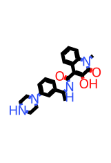 CC(NC(=O)c1c(O)c(=O)n(C)c2ccccc12)c1cccc(N2CCNCC2)c1